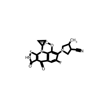 COc1c(N2CC(C)C(C#N)C2)c(F)cc2c(=O)c3c(=O)[nH]sc3n(C3CC3)c12